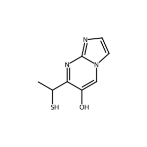 CC(S)c1nc2nccn2cc1O